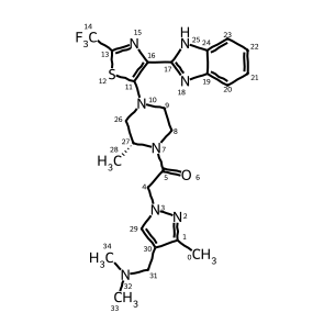 Cc1nn(CC(=O)N2CCN(c3sc(C(F)(F)F)nc3-c3nc4ccccc4[nH]3)C[C@H]2C)cc1CN(C)C